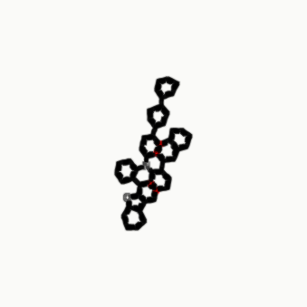 c1ccc(-c2ccc(-c3ccc(N(c4ccccc4-c4ccc5ccccc5c4)c4ccccc4-c4cccc5c4oc4ccccc45)cc3)cc2)cc1